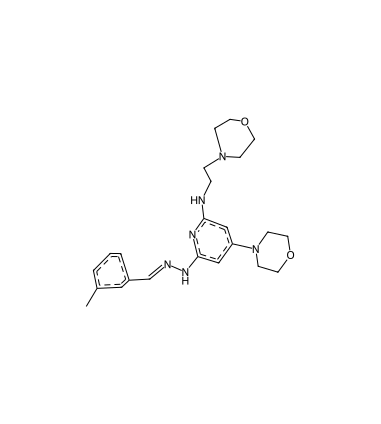 Cc1cccc(/C=N/Nc2cc(N3CCOCC3)cc(NCCN3CCOCC3)n2)c1